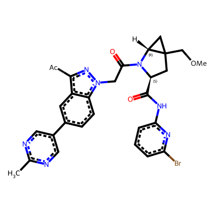 COCC12C[C@@H](C(=O)Nc3cccc(Br)n3)N(C(=O)Cn3nc(C(C)=O)c4cc(-c5cnc(C)nc5)ccc43)[C@@H]1C2